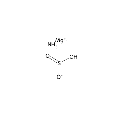 N.O=S([O-])O.[Mg+]